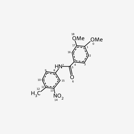 COc1ccc(C(=O)Nc2ccc(C)c([N+](=O)[O-])c2)cc1OC